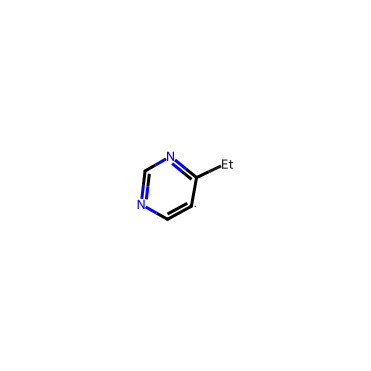 CCc1[c]cncn1